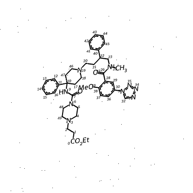 CCOC(=O)CCN1CCN(C(=O)NC2(c3ccccc3)CCN(CCC(CN(C)C(=O)c3cc(-n4cnnn4)ccc3OC)c3ccccc3)CC2)CC1